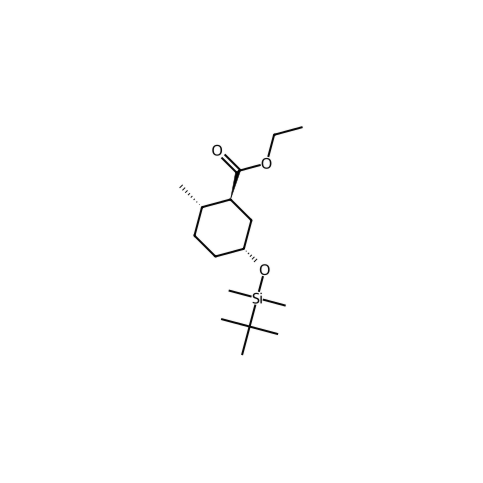 CCOC(=O)[C@H]1C[C@H](O[Si](C)(C)C(C)(C)C)CC[C@@H]1C